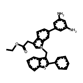 CCOC(=O)Cc1cn(Cc2c(-c3ccccc3)sc3ccccc23)c2cc(-c3cc(N)cc(N)c3)ccc12